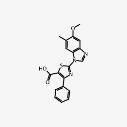 COc1cc2ncn(-c3nc(-c4ccccc4)c(C(=O)O)s3)c2cc1C